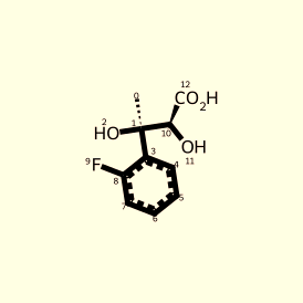 C[C@@](O)(c1ccccc1F)[C@H](O)C(=O)O